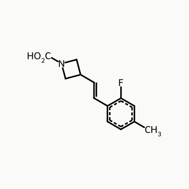 Cc1ccc(C=CC2CN(C(=O)O)C2)c(F)c1